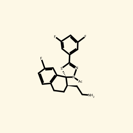 CC(=O)N1N=C(c2cc(F)cc(F)c2)S[C@]12c1cc(F)ccc1CC[C@@H]2CCN